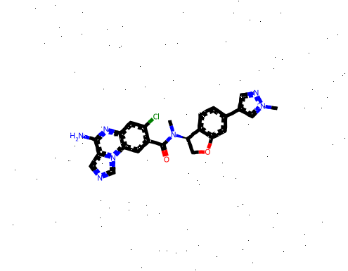 CN(C(=O)c1cc2c(cc1Cl)nc(N)c1cncn12)[C@@H]1COc2cc(-c3cnn(C)c3)ccc21